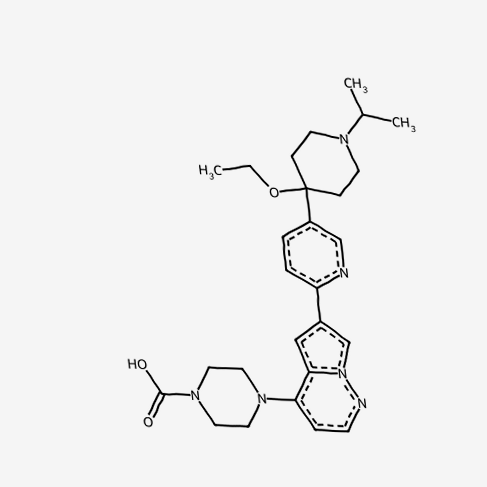 CCOC1(c2ccc(-c3cc4c(N5CCN(C(=O)O)CC5)ccnn4c3)nc2)CCN(C(C)C)CC1